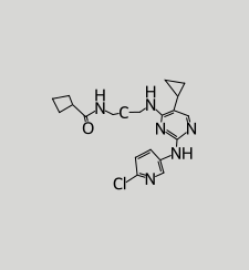 O=C(NCCCNc1nc(Nc2ccc(Cl)nc2)ncc1C1CC1)C1CCC1